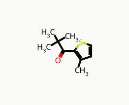 Cc1ccsc1C(=O)C(C)(C)C